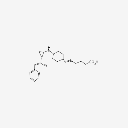 CC/C(=C\c1ccccc1)[C@@H]1CC1NC1CCC(/C=N/CCCC(=O)O)CC1